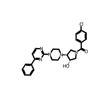 O=C(c1ccc(Cl)cc1)N1C[C@H](O)[C@@H](N2CCN(c3nccc(-c4ccccc4)n3)CC2)C1